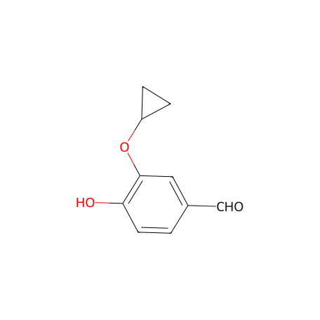 O=Cc1ccc(O)c(OC2CC2)c1